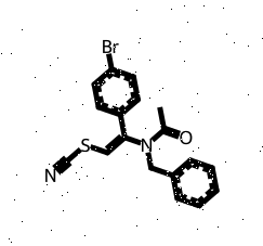 CC(=O)N(Cc1ccccc1)C(=CSC#N)c1ccc(Br)cc1